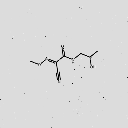 CO/N=C(\C#N)C(=O)NCC(C)O